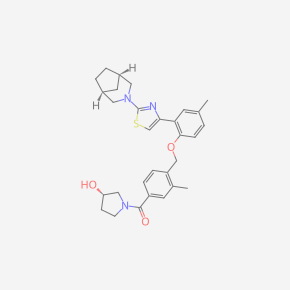 Cc1ccc(OCc2ccc(C(=O)N3CC[C@@H](O)C3)cc2C)c(-c2csc(N3C[C@@H]4CC[C@@H](C4)C3)n2)c1